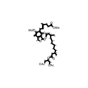 COC(=O)CC/C(C)=C/Cc1c(OC)c(C)c2c(c1OC(=O)CC(C)CCCCCCC(C)CC(=O)OC(COC(C)=O)COC(C)=O)C(=O)OC2